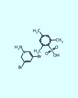 Cc1cc(C)c(S(=O)(=O)O)c(C)c1.NN1C=C(Br)C=C(Br)C1